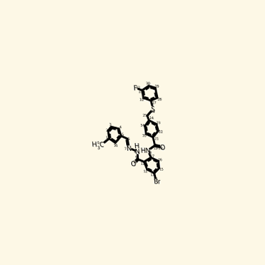 Cc1cccc(C=NNC(=O)c2cc(Br)ccc2NC(=O)c2ccc(CSc3cccc(F)c3)cc2)c1